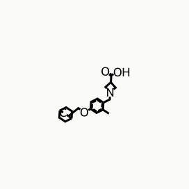 Cc1cc(OCC2CC3CCC2CC3)ccc1CN1CC(C(=O)O)C1